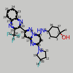 CC1(O)CCC(Nc2cc(N3CC[C@@H](F)C3)nc3cc(-c4nc5ccccc5nc4C(F)(F)F)nn23)CC1